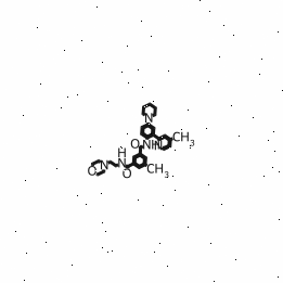 Cc1cc(C(=O)NCCN2CCOCC2)cc(C(=O)Nc2ccc(N3CCCCC3)cc2-c2cc(C)ccn2)c1